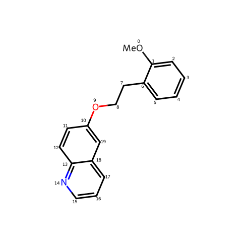 COc1ccccc1CCOc1ccc2ncccc2c1